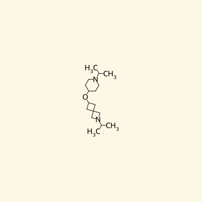 CC(C)N1CCC(OC2CC3(C2)CN(C(C)C)C3)CC1